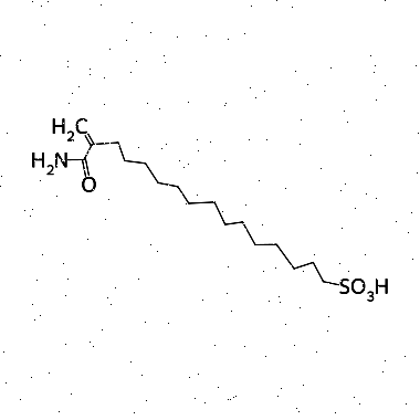 C=C(CCCCCCCCCCCCCCS(=O)(=O)O)C(N)=O